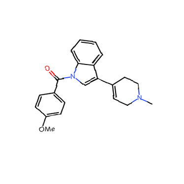 COc1ccc(C(=O)n2cc(C3=CCN(C)CC3)c3ccccc32)cc1